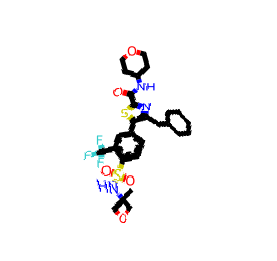 CC1(NS(=O)(=O)c2ccc(-c3sc(C(=O)NC4CCOCC4)nc3CC3CCCCC3)cc2C(F)(F)F)COC1